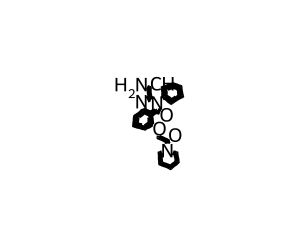 C[C@H](N)c1nc2cccc(OCC(=O)N3CCCCC3)c2c(=O)n1-c1ccccc1